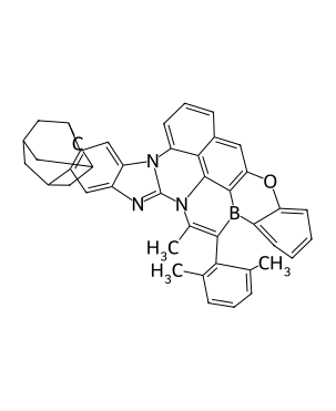 CC1=C(c2c(C)cccc2C)B2c3ccccc3Oc3cc4cccc5c4c(c32)n1c1nc2cc3c(cc2n51)C1CC2CC(CC3C2)C1